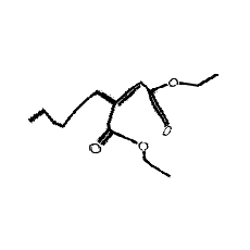 CCCCC(=CC(=O)OCC)C(=O)OCC